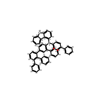 c1ccc(-c2ccc(N(c3ccc(-c4cccc(-c5ccccc5)c4-c4ccccc4)cc3-c3ccccc3)c3cccc4oc5ccccc5c34)cc2)cc1